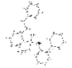 CCC(C)(Pc1ccccc1N1CCCCC1)c1ccccc1OCc1ccccc1